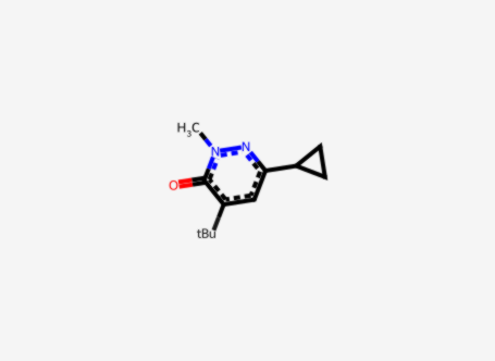 Cn1nc(C2CC2)cc(C(C)(C)C)c1=O